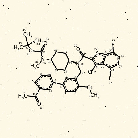 COc1ccc(-c2cccc(C(C)=O)c2)cc1CN(C(=O)c1sc2c(F)ccc(F)c2c1Cl)[C@H]1CC[C@H](N(C)C(=O)OC(C)(C)C)CC1